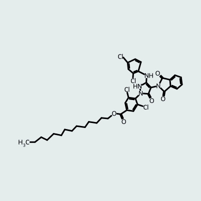 CCCCCCCCCCCCCCOC(=O)c1cc(Cl)c(-n2[nH]c(Nc3ccc(Cl)cc3Cl)c(N3C(=O)c4ccccc4C3=O)c2=O)c(Cl)c1